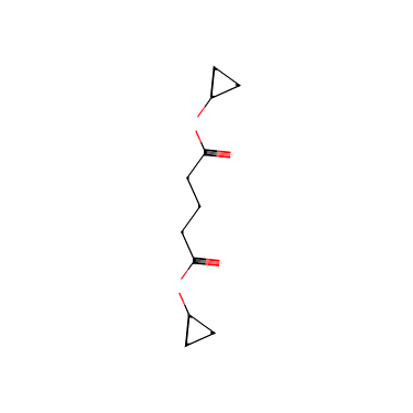 O=C(CCCC(=O)OC1CC1)OC1CC1